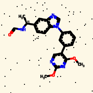 COc1ncc(-c2cccc(-n3cnc4cc([C@H](C)NC=O)ccc43)c2)c(OC)n1